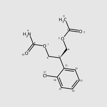 CC(=O)OC[C@H](COC(N)=O)c1ccccc1Cl